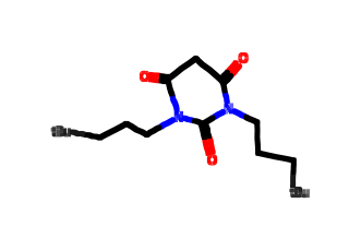 CC(C)(C)CCCN1C(=O)CC(=O)N(CCCC(C)(C)C)C1=O